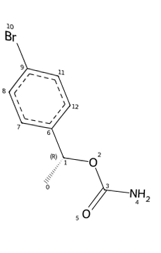 C[C@@H](OC(N)=O)c1ccc(Br)cc1